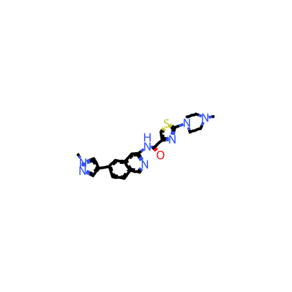 CN1CCN(c2nc(C(=O)Nc3cc4cc(-c5cnn(C)c5)ccc4cn3)cs2)CC1